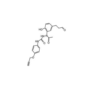 C#CCOc1ccc(NC(=O)NN(C(C)=O)c2cc(CCC=O)ccc2O)cc1